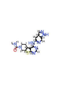 CN(C)C(=O)N1CCc2c(sc3ncnc(Nc4cc5cn[nH]c5cn4)c23)C1